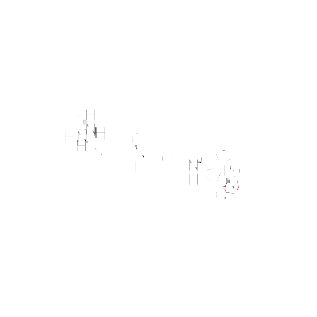 CO/C(=N\C(C)(C)C)c1ccc(C(=O)NCCCOCCCNC(=O)CCCC[C@@H]2SC[C@@H]3NC(=O)N[C@@H]32)cc1P(=O)(c1ccccc1)c1ccccc1